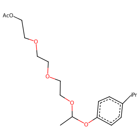 CC(=O)OCCOCCOCCOC(C)Oc1ccc(C(C)C)cc1